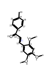 COc1cc(OC)c(OC)cc1/C=C/C(=O)c1ccc(C)cc1